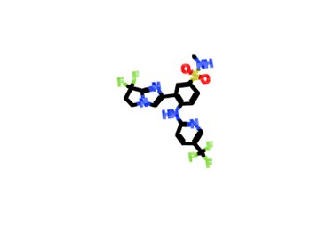 CNS(=O)(=O)c1ccc(Nc2ccc(C(F)(F)F)cn2)c(-c2cn3c(n2)C(F)(F)CC3)c1